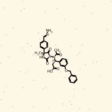 CC(=O)N([C@H](CC(=O)O)c1cccc(OCc2ccccc2)c1)N1C(=O)N[C@](C)(c2ccc(C=NN)cc2)C1=O